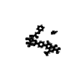 O=C(COc1ccccc1)N[C@H]1C(=O)N(S(=O)(=O)[O-])C1SC(=S)N1CCN(c2cc3c(cc2F)c(=O)c(C(=O)[O-])cn3C2CC2)CC1.[Na+].[Na+]